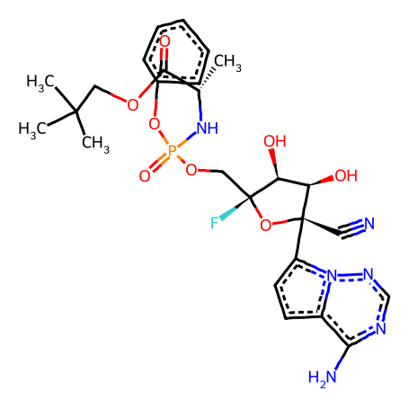 C[C@H](NP(=O)(OC[C@@]1(F)O[C@@](C#N)(c2ccc3c(N)ncnn23)[C@H](O)[C@@H]1O)Oc1ccccc1)C(=O)OCC(C)(C)C